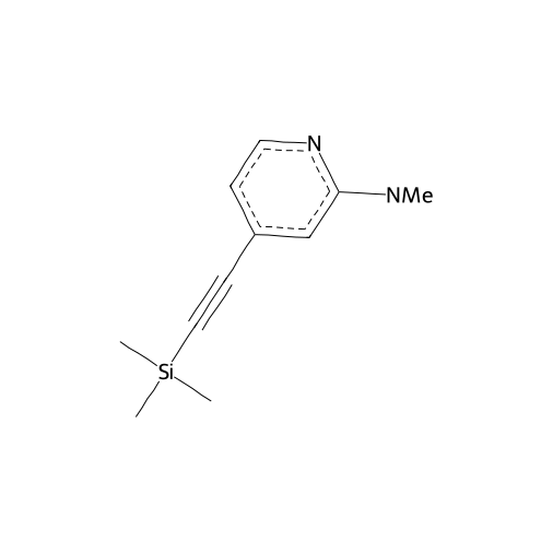 CNc1cc(C#C[Si](C)(C)C)ccn1